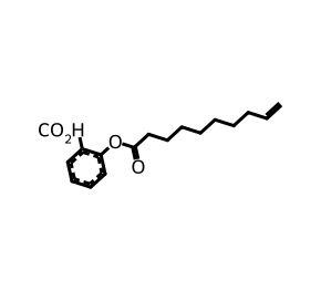 C=CCCCCCCCC(=O)Oc1ccccc1C(=O)O